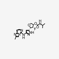 Cc1cn2c(Nc3cc([C@@H]4OC[C@H](OC(=O)NC(C)C)[C@@H]4F)[nH]n3)nccc2n1